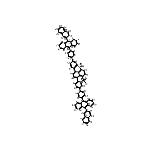 C[Si]1(C)c2cc(-c3ccc(-c4c5ccccc5c(-c5ccc6ccccc6c5)c5ccccc45)cc3)ccc2-c2ccc3c4c(ccc1c24)[Si](C)(C)c1cc(-c2ccc(-c4c5ccccc5c(-c5ccc6ccccc6c5)c5ccccc45)cc2)ccc1-3